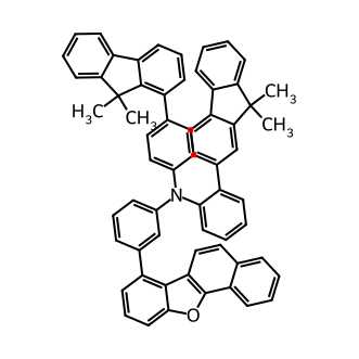 CC1(C)c2ccccc2-c2ccc(-c3ccccc3N(c3ccc(-c4cccc5c4C(C)(C)c4ccccc4-5)cc3)c3cccc(-c4cccc5oc6c7ccccc7ccc6c45)c3)cc21